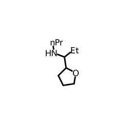 CCCNC(CC)C1CCCO1